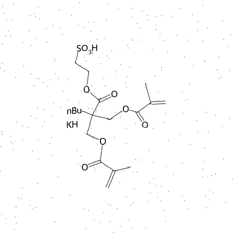 C=C(C)C(=O)OCC(CCCC)(COC(=O)C(=C)C)C(=O)OCCS(=O)(=O)O.[KH]